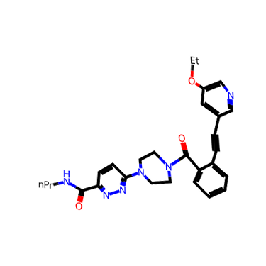 CCCNC(=O)c1ccc(N2CCN(C(=O)c3ccccc3C#Cc3cncc(OCC)c3)CC2)nn1